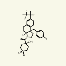 CC(F)(c1ccc2c(c1)CC[C@H]1N(C(=O)C3(O)CCS(=O)(=O)CC3)CC[C@@]21Cc1ccc(F)cc1)C(F)(F)F